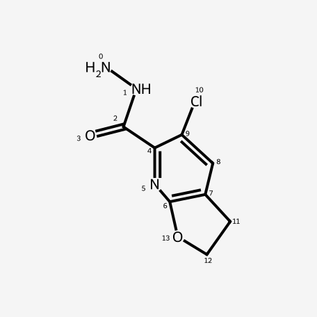 NNC(=O)c1nc2c(cc1Cl)CCO2